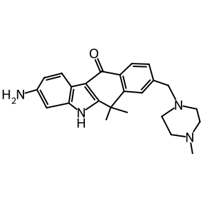 CN1CCN(Cc2ccc3c(c2)C(C)(C)c2[nH]c4cc(N)ccc4c2C3=O)CC1